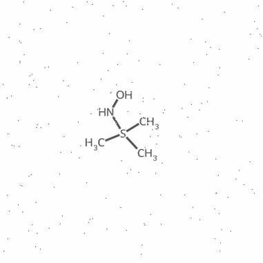 CS(C)(C)NO